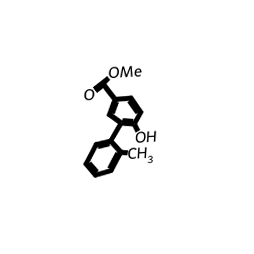 COC(=O)c1ccc(O)c(-c2ccccc2C)c1